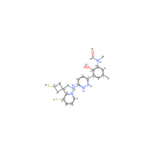 Cc1cc(-c2ccc(NCC3(c4ncccc4F)CC(F)C3)nn2)c(O)c(N(C)C=O)c1